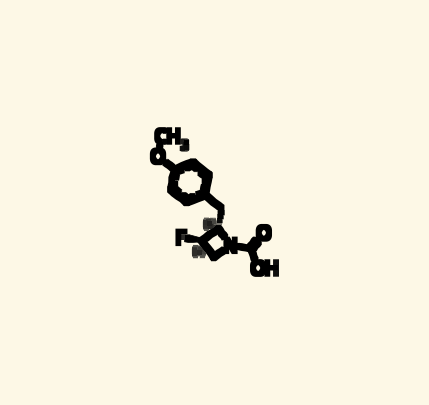 COc1ccc(C[C@H]2[C@H](F)CN2C(=O)O)cc1